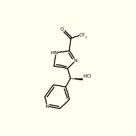 C[C@@H](c1ccncc1)c1c[nH]c(C(=O)C(F)(F)F)n1.Cl